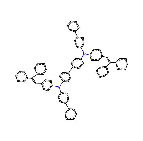 C(=C(c1ccccc1)c1ccccc1)c1ccc(N(c2ccc(-c3ccccc3)cc2)c2ccc(-c3ccc(N(c4ccc(C=C(c5ccccc5)c5ccccc5)cc4)c4ccc(-c5ccccc5)cc4)cc3)cc2)cc1